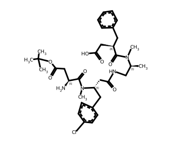 C[C@@H](CNC(=O)C[C@H](Cc1ccc(Cl)cc1)N(C)C(=O)[C@@H](N)CC(=O)OC(C)(C)C)N(C)C(=O)[C@@H](CC(=O)O)Cc1ccccc1